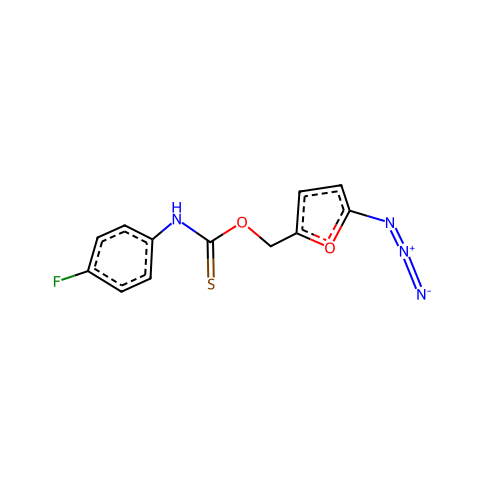 [N-]=[N+]=Nc1ccc(COC(=S)Nc2ccc(F)cc2)o1